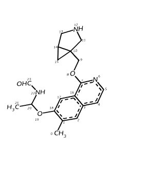 Cc1cc2ccnc(OCC34CNCC3C4)c2cc1OC(C)NC=O